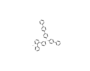 CCn1c2ccccc2c2c(-c3cccc(N(c4ccc(-c5ccccc5)cc4)c4ccc(-c5ccc(-c6ccccc6)cc5)cc4)c3)cccc21